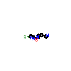 CC1c2cc(-c3cccnc3)ccc2CCN1C(=O)c1cc2ccc(Br)cn2n1